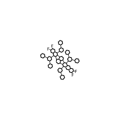 Fc1cc2cc3c(-c4cccc(-c5ccccc5)c4)c4c(c(-c5cc(-c6ccccc6)cc(-c6ccccc6)c5)c3cc2cc1F)-c1ccc2c3c(ccc-4c13)-c1c-2c(-c2cccc(-c3ccccc3)c2)c2cc(F)c(F)cc2c1-c1cc(-c2ccccc2)cc(-c2ccccc2)c1